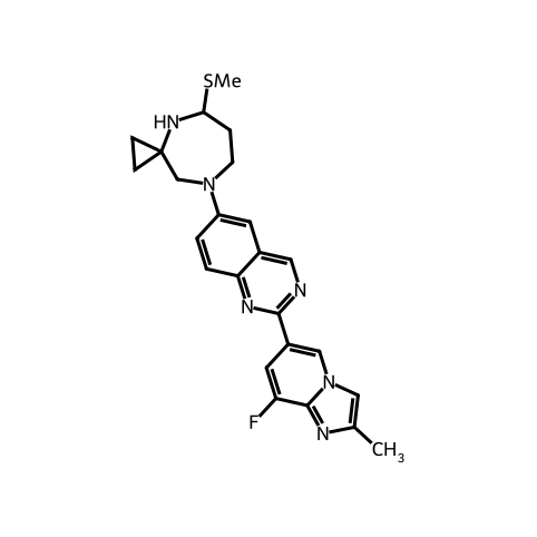 CSC1CCN(c2ccc3nc(-c4cc(F)c5nc(C)cn5c4)ncc3c2)CC2(CC2)N1